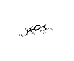 COC(=O)C(C)(C)C1CCN(C(=O)[C@H](C)N)CC1